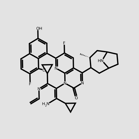 C=C/N=C(\C(=C(/N)C1CC1)n1c(=O)nc(C2CC3CCC(C[C@H]2C)N3)c2cc(F)c(-c3cc(O)cc4ccc(F)c(Cl)c34)nc21)C1CC1